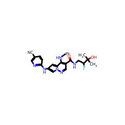 CC(C)Nc1c(C(=O)NCC(F)C(C)(C)O)cnn2cc(Nc3ccc(C#N)cn3)cc12